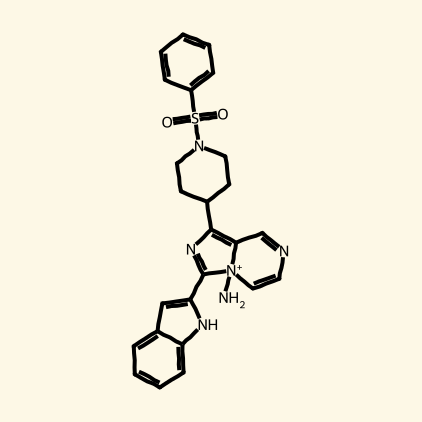 N[N+]12C=CN=CC1=C(C1CCN(S(=O)(=O)c3ccccc3)CC1)N=C2c1cc2ccccc2[nH]1